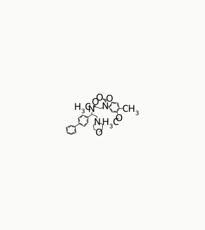 COc1cc2c(cc1C)oc(=O)n2CC(=O)N(C)C(CN1CCOCC1)c1ccc(-c2ccccc2)cc1